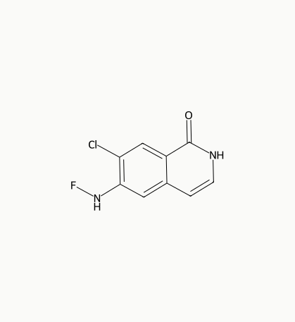 O=c1[nH]ccc2cc(NF)c(Cl)cc12